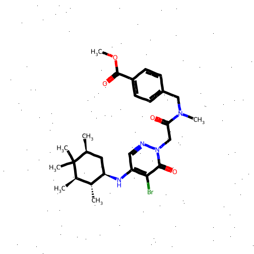 COC(=O)c1ccc(CN(C)C(=O)Cn2ncc(N[C@@H]3C[C@H](C)C(C)(C)[C@H](C)[C@H]3C)c(Br)c2=O)cc1